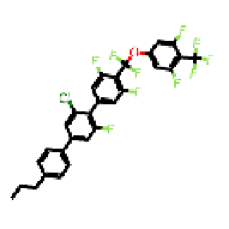 CCCc1ccc(-c2cc(F)c(-c3cc(F)c(C(F)(F)Oc4cc(F)c(C(F)(F)F)c(F)c4)c(F)c3)c(Cl)c2)cc1